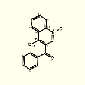 O=C(c1ccccc1)c1c[n+]([O-])c2cccnc2c1Cl